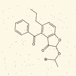 CCCc1ccc2c(c1C(=O)c1ccccc1)C(=O)C(OC(C)Br)O2